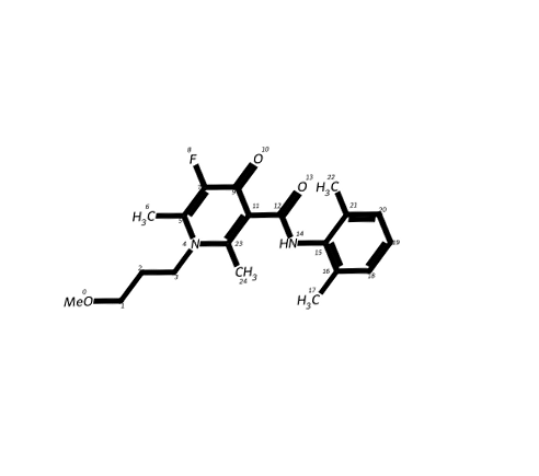 COCCCn1c(C)c(F)c(=O)c(C(=O)Nc2c(C)cccc2C)c1C